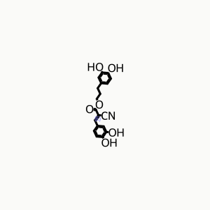 N#C/C(=C\c1ccc(O)c(O)c1)C(=O)OCCCc1ccc(O)c(O)c1